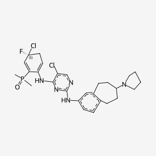 CP(C)(=O)C1=C[C@@](F)(Cl)CC=C1Nc1nc(Nc2ccc3c(c2)CCC(N2CCCC2)CC3)ncc1Cl